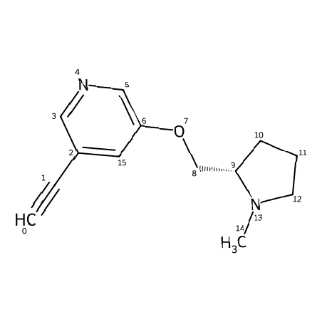 C#Cc1cncc(OC[C@@H]2CCCN2C)c1